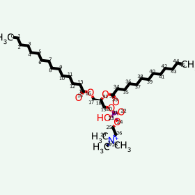 CCCCCCCCCCCCCCC(=O)OC[C@H](COP(=O)(O)OCC[N+](C)(C)C)OC(=O)CCCCCCCCCCCC